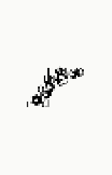 O=C(N[C@H]1CC[C@@]2(CCN(c3ccc(F)cc3Cl)C2=O)CC1)c1[nH]cnc1C(=O)N1CC2(COC2)C1